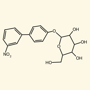 O=[N+]([O-])c1cccc(-c2ccc(OC3OC(CO)C(O)C(O)C3O)cc2)c1